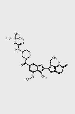 CCn1c(-c2nc3cc(C(=O)N4CCC[C@@H](NC(=O)OC(C)(C)C)C4)cc(OC)c3n2C)cc2ccc(=O)[nH]c21